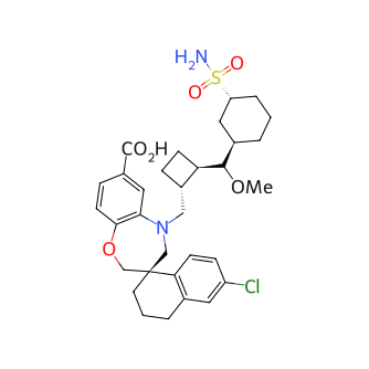 COC([C@@H]1CCC[C@@H](S(N)(=O)=O)C1)[C@@H]1CC[C@H]1CN1C[C@@]2(CCCc3cc(Cl)ccc32)COc2ccc(C(=O)O)cc21